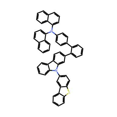 c1ccc(-c2ccc3c4ccccc4n(-c4ccc5sc6ccccc6c5c4)c3c2)c(-c2ccc(N(c3cccc4ccccc34)c3cccc4ccccc34)cc2)c1